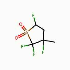 CC1(F)CC(F)S(=O)(=O)C1(F)F